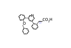 O=C(O)/C=C/c1ccccc1-c1cncc(-c2ccccc2OCc2ccccc2)c1